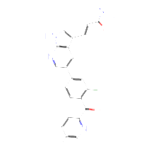 NC(=O)C=Cc1c[nH]c2ncc(-c3ccc(C(=O)c4ccc(C(F)(F)F)cn4)c(F)c3)cc12